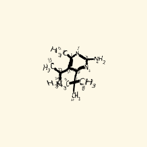 Cc1nc(N)nc(C(C)(C)C)c1C(C)C